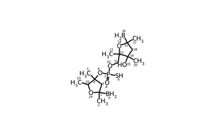 BC1(C)CC(C)(OP(=O)(S)OCC2(C)OC(B)(C)CC2(C)O)C(C)O1